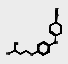 [N-]=[N+]=C1C=CC(Nc2ccc(OCCP(O)O)cc2)=CC1